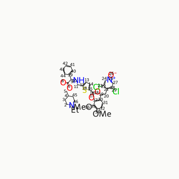 CCN1CCC(COC(=O)C(NCc2ccc(C(=O)OC(Cc3c(Cl)c[n+]([O-])cc3Cl)c3ccc(OC)c(OC)c3)s2)c2ccccc2)CC1